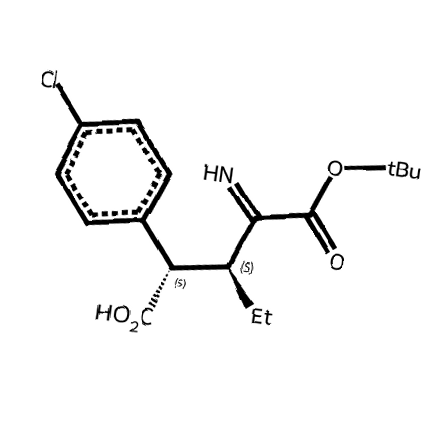 CC[C@H](C(=N)C(=O)OC(C)(C)C)[C@H](C(=O)O)c1ccc(Cl)cc1